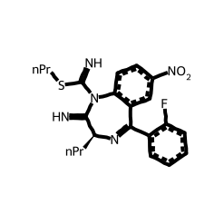 CCCSC(=N)N1C(=N)[C@H](CCC)N=C(c2ccccc2F)c2cc([N+](=O)[O-])ccc21